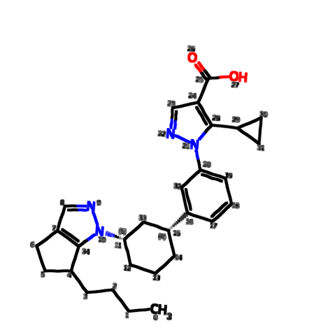 CCCCC1CCc2cnn([C@H]3CCC[C@@H](c4cccc(-n5ncc(C(=O)O)c5C5CC5)c4)C3)c21